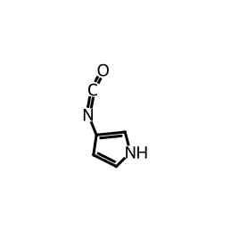 O=C=Nc1cc[nH]c1